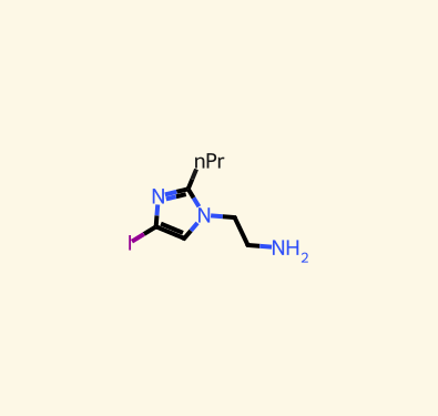 CCCc1nc(I)cn1CCN